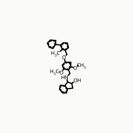 COc1cc(OCc2cccc(-c3ccccc3)c2C)cc(OC)c1CNC1c2ccccc2CC1O